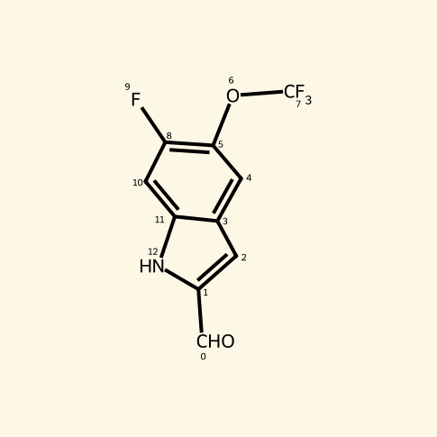 O=Cc1cc2cc(OC(F)(F)F)c(F)cc2[nH]1